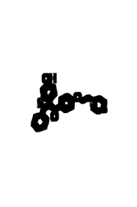 O=C(c1ccc(OCCN2CCSCC2)cc1)c1c(C2CCCCC2)sc2cc(O)ccc12